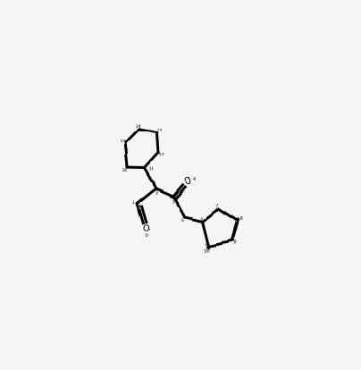 O=[C]C(C(=O)CC1CCCC1)C1CCCCC1